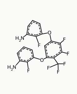 Nc1cccc(Oc2cc(Oc3cccc(N)c3F)c(C(F)(F)F)c(F)c2F)c1F